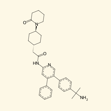 CC(C)(N)c1ccc(-c2cnc(NC(=O)C[C@H]3CC[C@H](N4CCCCC4=O)CC3)cc2-c2ccccc2)cc1